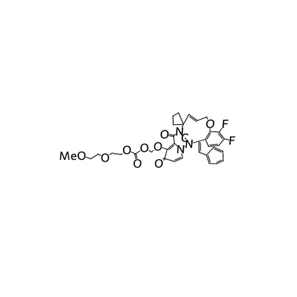 COCCOCCOC(=O)OCOc1c2n(ccc1=O)N1CN(C2=O)C2(/C=C/COc3c(ccc(F)c3F)C1=Cc1ccccc1)CCC2